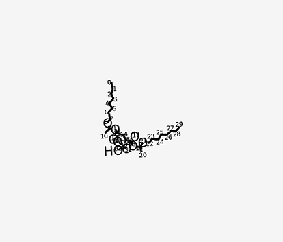 CCCCCCCCOC(C)OC(=O)CC(C(=O)OC(C)OCCCCCCCC)S(=O)(=O)O